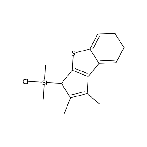 CC1=C(C)C([Si](C)(C)Cl)c2sc3c(c21)=CCCC=3